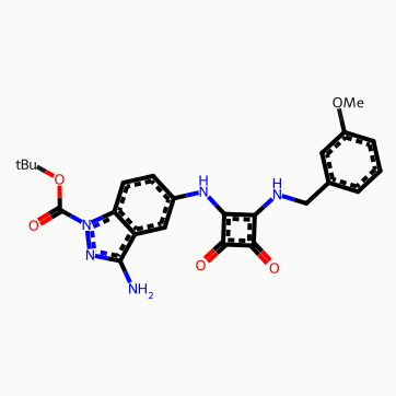 COc1cccc(CNc2c(Nc3ccc4c(c3)c(N)nn4C(=O)OC(C)(C)C)c(=O)c2=O)c1